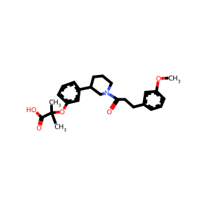 COc1cccc(CCC(=O)N2CCCC(c3cccc(OC(C)(C)C(=O)O)c3)C2)c1